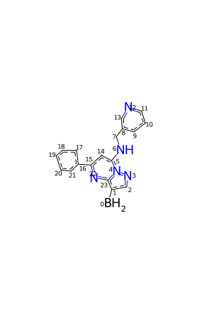 Bc1cnn2c(NCc3cccnc3)cc(-c3ccccc3)nc12